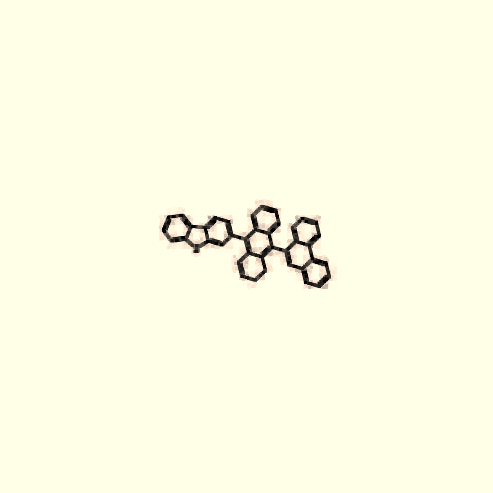 C1=Cc2c(c(-c3cc4ccccc4c4ccccc34)c3ccccc3c2-c2ccc3c(c2)sc2ccccc23)CC1